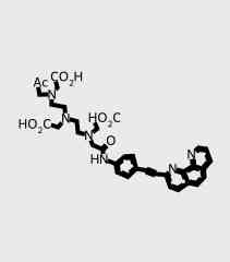 CC(=O)CN(CCN(CCN(CC(=O)O)CC(=O)Nc1ccc(C#Cc2ccc3ccc4cccnc4c3n2)cc1)CC(=O)O)CC(=O)O